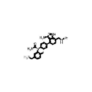 CC(C)NCc1ccc(-c2ccc(N(C(N)=O)c3cc(CN)ccc3F)cc2)c2c(N)n[nH]c12